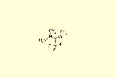 C/N=C(\N(C)N)C(F)(F)F